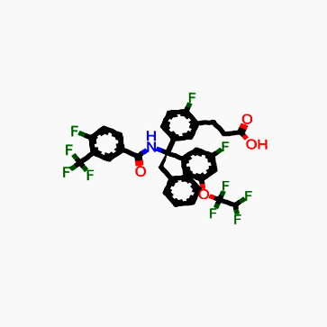 O=C(O)CCc1cc([C@@](Cc2ccccc2)(NC(=O)c2ccc(F)c(C(F)(F)F)c2)c2cc(F)cc(OC(F)(F)C(F)F)c2)ccc1F